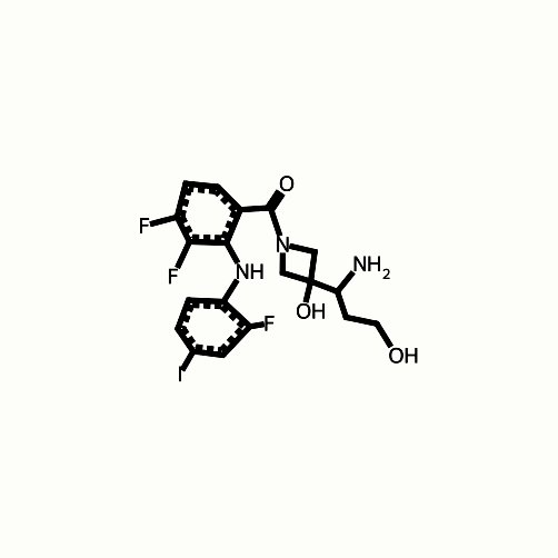 NC(CCO)C1(O)CN(C(=O)c2ccc(F)c(F)c2Nc2ccc(I)cc2F)C1